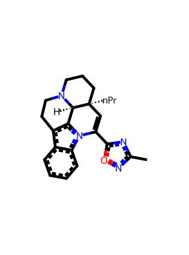 CCC[C@@]12C=C(c3nc(C)no3)n3c4c(c5ccccc53)CCN(CCC1)[C@H]42